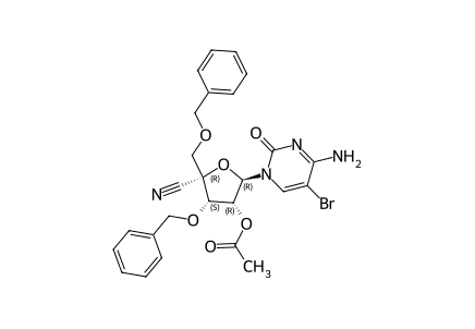 CC(=O)O[C@H]1[C@H](n2cc(Br)c(N)nc2=O)O[C@](C#N)(COCc2ccccc2)[C@H]1OCc1ccccc1